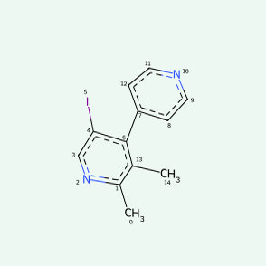 Cc1ncc(I)c(-c2ccncc2)c1C